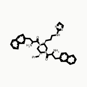 CC(C)C[C@@H]1CN(C(=O)C(N)Cc2ccc3ccccc3c2)[C@@H](CCCNc2nccs2)CN1C(=O)C(N)Cc1ccc2ccccc2c1